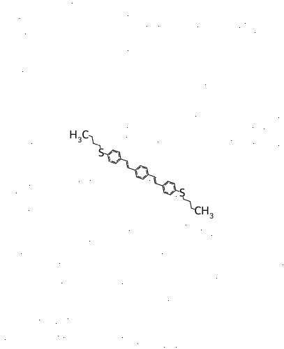 CCCCSc1ccc(C=Cc2ccc(C=Cc3ccc(SCCCC)cc3)cc2)cc1